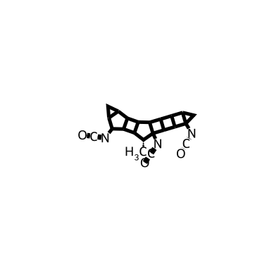 C[C@@H]1C2C3C(N=C=O)C4CC4C3C2C2C3C4C5CC5(N=C=O)C4C3C21N=C=O